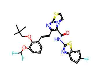 CC(C)(C)COc1c(/C=C/c2nc3sccn3c2C(=O)Nc2nc3ccc(F)cc3s2)cccc1OC(F)F